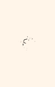 C[Si](C)(C[Si](C)(C)N=C=S)N=C=S